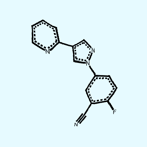 N#Cc1cc(-n2cc(-c3ccccn3)cn2)ccc1F